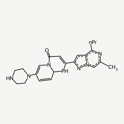 CCCc1nc(C)cn2nc(C3=CC(=O)N4C=C(N5CCNCC5)C=CC4P3)cc12